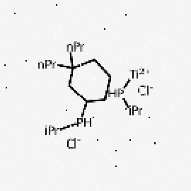 CC(C)[PH][Ti+2].CCCC1(CCC)CCCC(PC(C)C)C1.[Cl-].[Cl-]